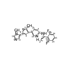 C=C(Nc1ccc(-c2cc(-c3cncn3C)sc2C)cn1)c1c(F)cccc1F